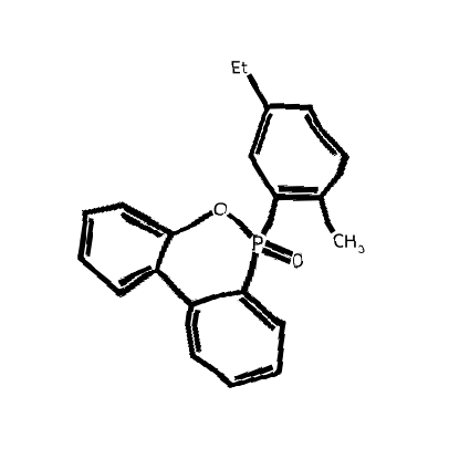 CCc1ccc(C)c(P2(=O)Oc3ccccc3-c3ccccc32)c1